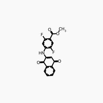 COC(=O)c1cc(F)c(NC2=CC(=O)c3ccccc3C2=O)cc1F